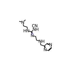 CN(C)CCN/C(=N/CCNCc1cnccn1)NC#N